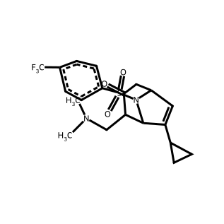 CN(C)CC1C(=O)CC2C=C(C3CC3)C1N2S(=O)(=O)c1ccc(C(F)(F)F)cc1